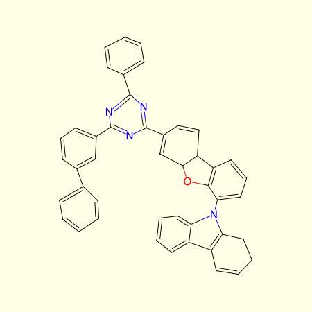 C1=Cc2c(n(-c3cccc4c3OC3C=C(c5nc(-c6ccccc6)nc(-c6cccc(-c7ccccc7)c6)n5)C=CC43)c3ccccc23)CC1